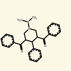 CN(C)N1CC(C(=O)c2ccccc2)C(c2ccccc2)C(C(=O)c2ccccc2)C1